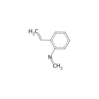 C=Cc1ccccc1N=C